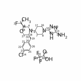 CC(F)[C@H]1CN(C2CCN(c3nnc(N)[nH]3)CC2)[C@@H](Cc2ccc(Cl)cc2)CO1.O=C(O)C(F)(F)F